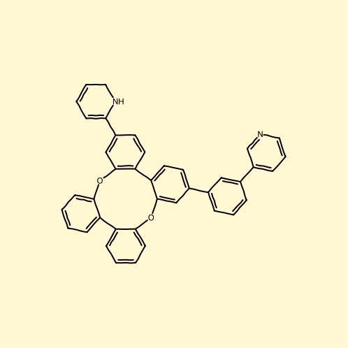 C1=CCNC(c2ccc3c(c2)Oc2ccccc2-c2ccccc2Oc2cc(-c4cccc(-c5cccnc5)c4)ccc2-3)=C1